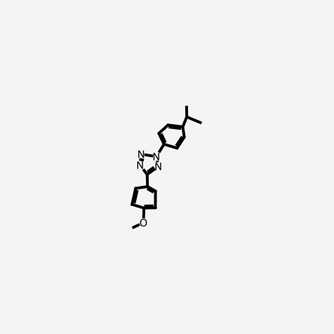 COc1ccc(-c2nnn(-c3ccc(C(C)C)cc3)n2)cc1